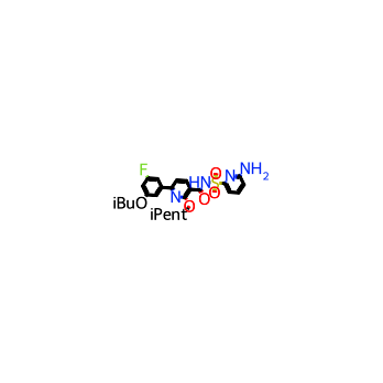 CCCC(C)Oc1nc(-c2cc(F)cc(OCC(C)C)c2)ccc1C(=O)NS(=O)(=O)c1cccc(N)n1